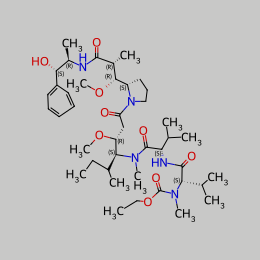 CCOC(=O)N(C)[C@H](C(=O)N[C@H](C(=O)N(C)[C@@H](C(C)CC)[C@@H](CC(=O)N1CCC[C@H]1[C@H](OC)[C@@H](C)C(=O)N[C@H](C)[C@@H](O)c1ccccc1)OC)C(C)C)C(C)C